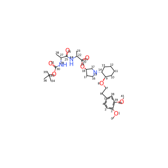 COc1ccc(CCO[C@@H]2CCCC[C@H]2N2CC[C@@H](OC(=O)C(C)NC(=O)C(C)NC(=O)OC(C)(C)C)C2)cc1OC